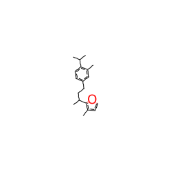 Cc1cc(CCC(C)c2occc2C)ccc1C(C)C